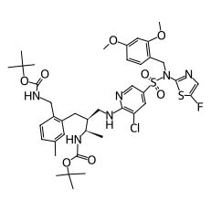 COc1ccc(CN(c2ncc(F)s2)S(=O)(=O)c2cnc(NC[C@H](Cc3cc(C)ccc3CNC(=O)OC(C)(C)C)[C@@H](C)NC(=O)OC(C)(C)C)c(Cl)c2)c(OC)c1